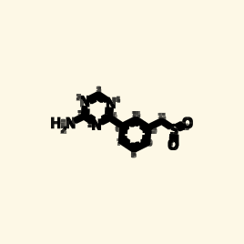 Nc1ncnc(-c2cccc(C[SH](=O)=O)c2)n1